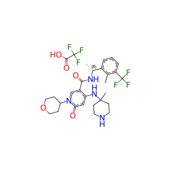 Cc1c([C@@H](C)NC(=O)c2cn(C3CCOCC3)c(=O)cc2NC2(C)CCNCC2)cccc1C(F)(F)F.O=C(O)C(F)(F)F